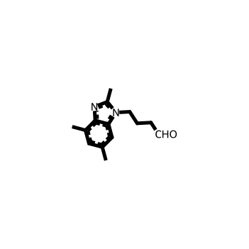 Cc1cc(C)c2nc(C)n(CCCC=O)c2c1